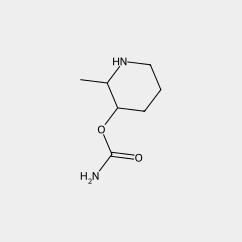 CC1NCCCC1OC(N)=O